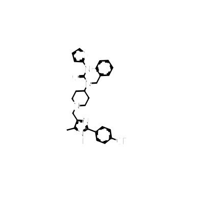 Cc1[nH]c(-c2ccc(C(F)(F)F)cc2)nc1CN1CCC(N(Cc2ccccc2)C(=O)Nc2cccs2)CC1